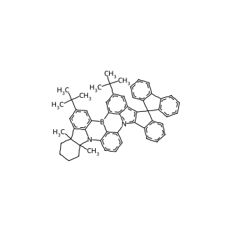 CC(C)(C)c1cc2c3c(c1)C1(C)CCCCC1(C)N3c1cccc3c1B2c1cc(C(C)(C)C)cc2c4c(n-3c12)-c1ccccc1C41c2ccccc2-c2ccccc21